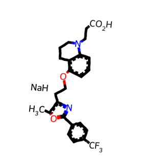 Cc1oc(-c2ccc(C(F)(F)F)cc2)nc1CCOc1cccc2c1CCCN2CCC(=O)O.[NaH]